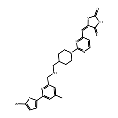 CC(=O)c1ccc(-c2cc(C)cc(CNCC3CCN(c4nccc(C=C5SC(=O)NC5=O)n4)CC3)n2)s1